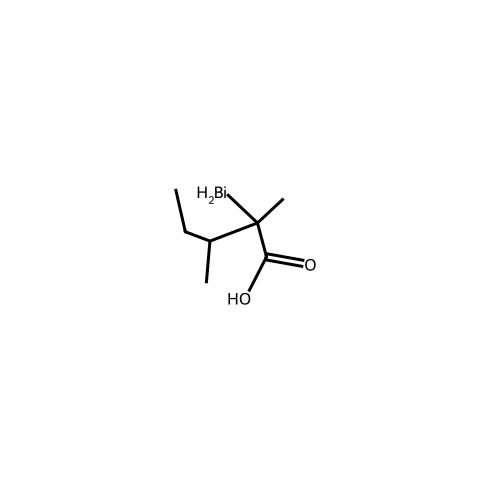 CCC(C)[C](C)([BiH2])C(=O)O